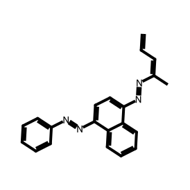 C=C/C=C(C)\N=N\c1ccc(/N=N/c2ccccc2)c2ccccc12